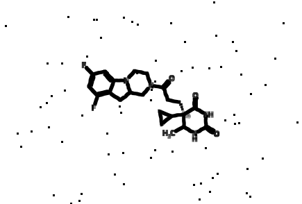 CC1NC(=O)NC(=O)[C@]1(CCC(=O)N1CCN2c3cc(F)cc(F)c3CC2C1)C1CC1